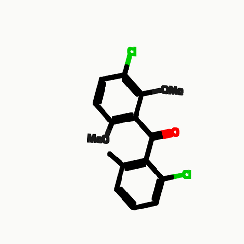 COc1ccc(Cl)c(OC)c1C(=O)c1c(C)cccc1Cl